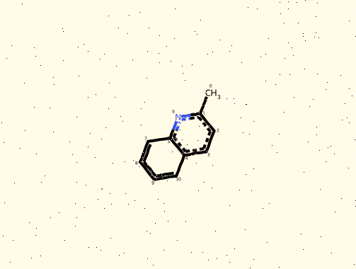 Cc1ccc2c(n1)C=C=C=C2